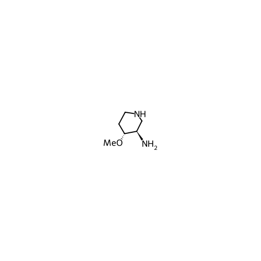 CO[C@@H]1CCNC[C@H]1N